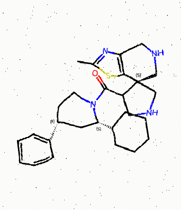 Cc1nc2c(s1)[C@]1(CNC2)CNCC1C(=O)N1CC[C@@H](c2ccccc2)C[C@H]1C1CCCCC1